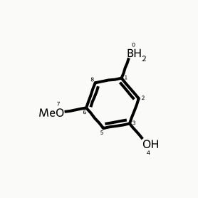 Bc1cc(O)cc(OC)c1